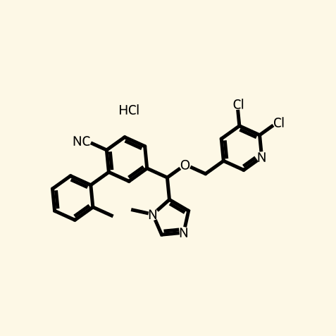 Cc1ccccc1-c1cc(C(OCc2cnc(Cl)c(Cl)c2)c2cncn2C)ccc1C#N.Cl